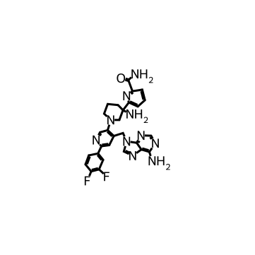 NC(=O)c1cccc(C2(N)CCCN(c3cnc(-c4ccc(F)c(F)c4)cc3Cn3cnc4c(N)ncnc43)C2)n1